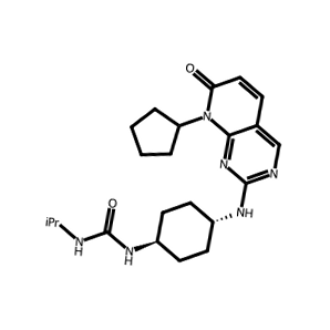 CC(C)NC(=O)N[C@H]1CC[C@H](Nc2ncc3ccc(=O)n(C4CCCC4)c3n2)CC1